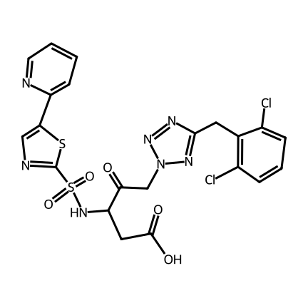 O=C(O)CC(NS(=O)(=O)c1ncc(-c2ccccn2)s1)C(=O)Cn1nnc(Cc2c(Cl)cccc2Cl)n1